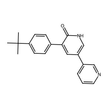 CC(C)(C)c1ccc(-c2cc(-c3cccnc3)c[nH]c2=O)cc1